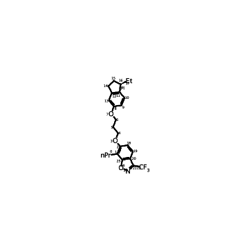 CCCc1c(OCCCOc2ccc3c(c2)CC[C@H]3CC)ccc2c(C(F)(F)F)noc12